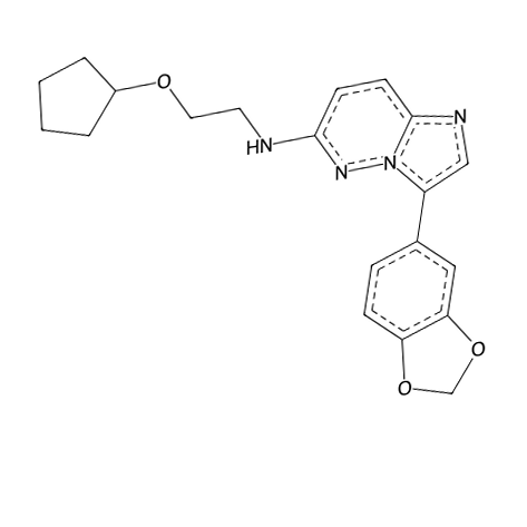 c1cc2c(cc1-c1cnc3ccc(NCCOC4CCCC4)nn13)OCO2